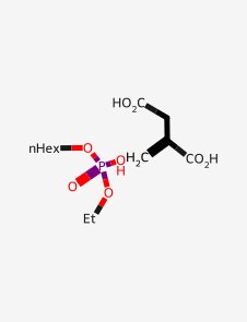 C=C(CC(=O)O)C(=O)O.CCCCCCOP(=O)(O)OCC